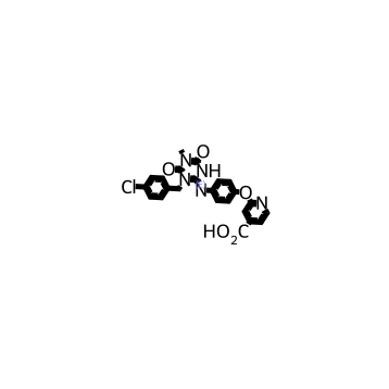 Cn1c(=O)[nH]/c(=N\c2ccc(Oc3cc(C(=O)O)ccn3)cc2)n(Cc2ccc(Cl)cc2)c1=O